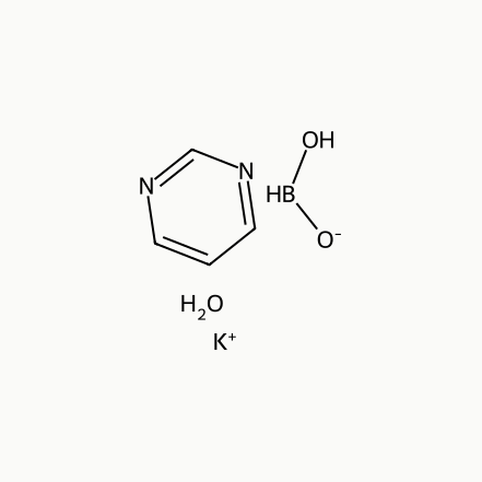 O.[K+].[O-]BO.c1cncnc1